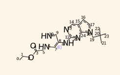 CCOC(=O)CN/C=C(\C=N)Nc1ncc2ccn(CC(C)(C)C)c2n1